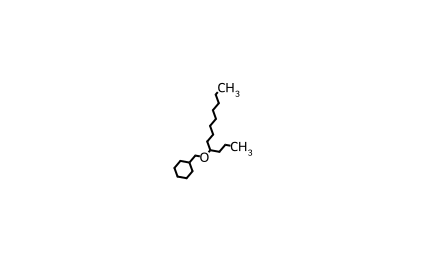 CCCCCCCCC(CCC)OCC1CCCCC1